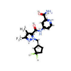 Cc1c(C(F)(F)F)nn(C[C@H]2CCC(F)(F)C2)c1C(=O)Nc1ccnc(C(N)=O)c1